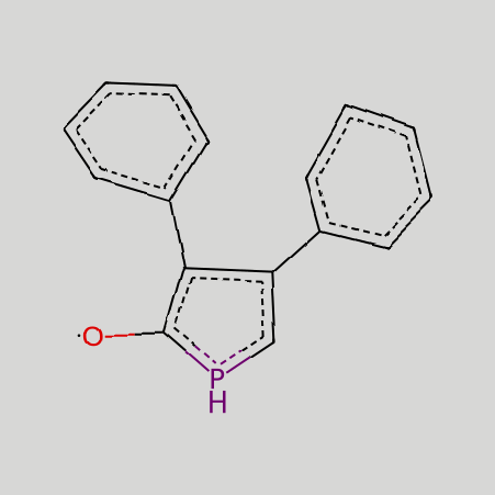 [O]c1[pH]cc(-c2ccccc2)c1-c1ccccc1